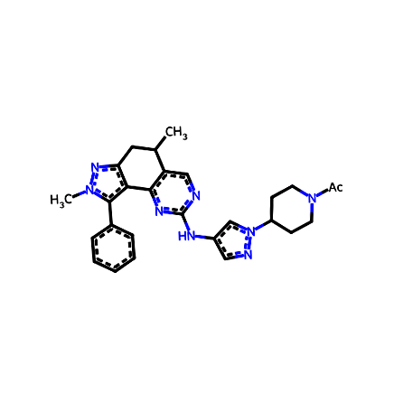 CC(=O)N1CCC(n2cc(Nc3ncc4c(n3)-c3c(nn(C)c3-c3ccccc3)CC4C)cn2)CC1